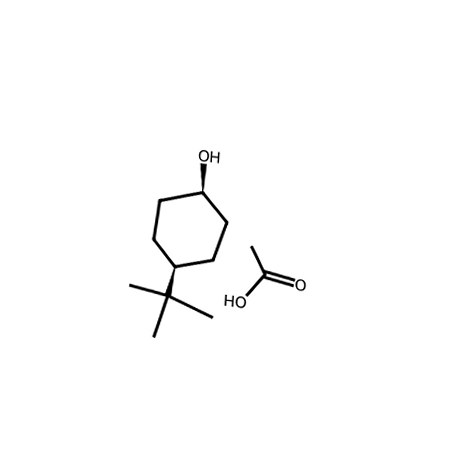 CC(=O)O.CC(C)(C)[C@H]1CC[C@@H](O)CC1